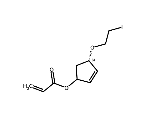 C=CC(=O)OC1C=C[C@@H](OCCI)C1